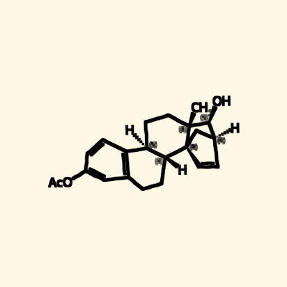 CC(=O)Oc1ccc2c(c1)CC[C@@H]1[C@@H]2CC[C@]2(C)[C@@H](O)[C@H]3C=C[C@@]12C3